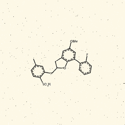 COc1cc2c(c(-c3ccccc3F)c1)OC(Cc1cc(C)ccc1S(=O)(=O)O)C2